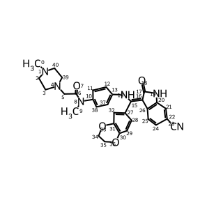 CN1CCN(CC(=O)N(C)c2ccc(N/C(=C3\C(=O)Nc4cc(C#N)ccc43)c3ccc4c(c3)OCCO4)cc2)CC1